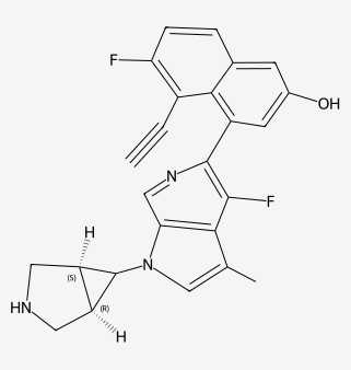 C#Cc1c(F)ccc2cc(O)cc(-c3ncc4c(c(C)cn4C4[C@H]5CNC[C@@H]45)c3F)c12